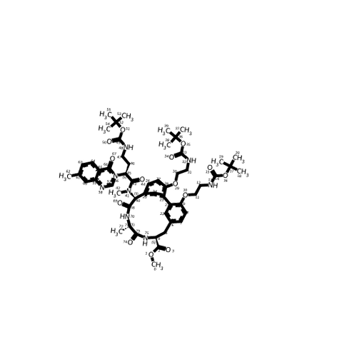 COC(=O)[C@@H]1Cc2ccc(OCCNC(=O)OC(C)(C)C)c(c2)-c2cc(ccc2OCCNC(=O)OC(C)(C)C)[C@H](N(C)C(=O)[C@H](CCNC(=O)OC(C)(C)C)n2cnc3cc(C)ccc3c2=O)C(=O)N[C@@H](C)C(=O)N1